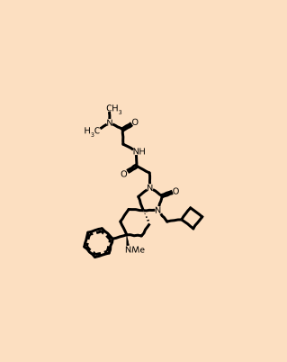 CN[C@]1(c2ccccc2)CC[C@]2(CC1)CN(CC(=O)NCC(=O)N(C)C)C(=O)N2CC1CCC1